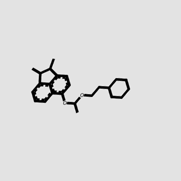 CC(OCCC1CCCCC1)Oc1ccc2c3c(cccc13)C(C)C2C